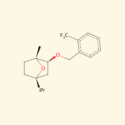 CC(C)[C@@]12CC[C@@](C)(O1)[C@@H](OCc1ccccc1C(F)(F)F)C2